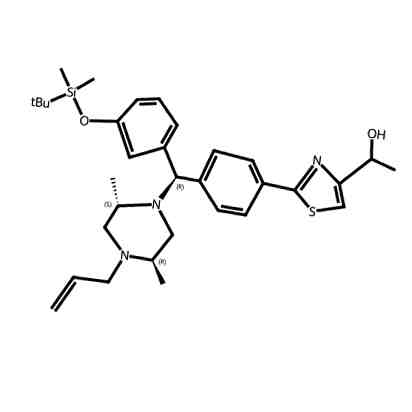 C=CCN1C[C@H](C)N([C@H](c2ccc(-c3nc(C(C)O)cs3)cc2)c2cccc(O[Si](C)(C)C(C)(C)C)c2)C[C@H]1C